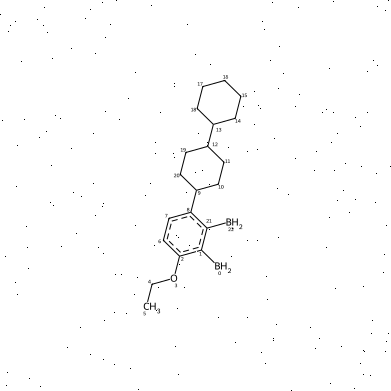 Bc1c(OCC)ccc(C2CCC(C3CCCCC3)CC2)c1B